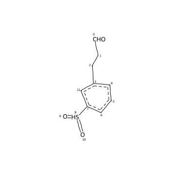 O=CCCc1cccc([SH](=O)=O)c1